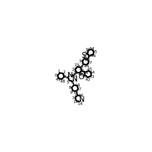 c1ccc(-c2cc(-c3ccc(-c4cccnc4)cc3)nc(-c3ccc(-c4ccc5c(c4)sc4ccccc45)c4c3oc3ccccc34)n2)cc1